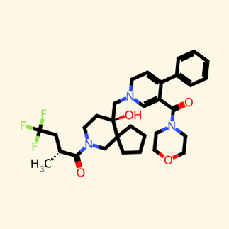 C[C@H](CC(F)(F)F)C(=O)N1CC[C@](O)(CN2C=C(C(=O)N3CCOCC3)C(c3ccccc3)=CC2)C2(CCCC2)C1